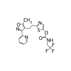 Cc1onc(-c2ccccn2)c1CCc1ncc(OC(=O)NCC(F)(F)F)s1